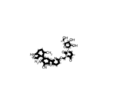 Cc1ccc2[nH]ncc2c1-c1cc2c(oc3ccc(OCn4c(=O)ccn([C@@H]5O[C@H](CO)[C@@H](O)[C@H]5O)c4=O)nc32)c(C#N)c1N